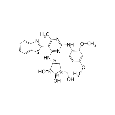 COc1ccc(Nc2nc(C)c(-c3nc4ccccc4s3)c(N[C@@H]3C[C@H](CO)[C@@H](O)[C@H]3O)n2)c(OC)c1